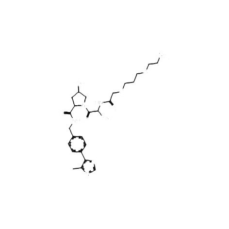 Cc1ncsc1-c1ccc(CNC(=O)C2CC(O)CN2C(=O)C(NC(=O)COCCCOCCN)C(C)(C)C)cc1